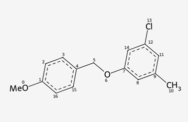 COc1ccc(COc2cc(C)cc(Cl)c2)cc1